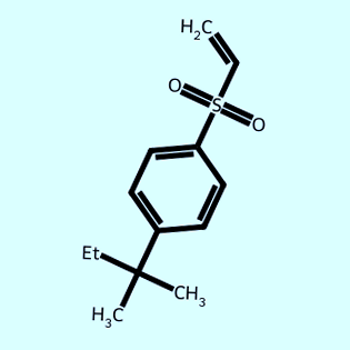 C=CS(=O)(=O)c1ccc(C(C)(C)CC)cc1